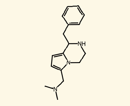 CN(C)Cc1ccc2n1CCNC2Cc1ccccc1